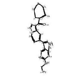 CC(C)CNc1ncc2c(-c3ccn4ncc(C(=O)C5CCCCC5)c4c3)c[nH]c2n1